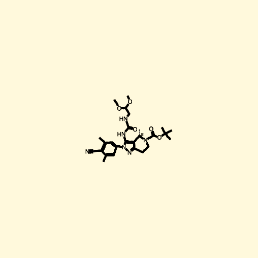 COC(CNC(=O)Nc1c2c(nn1-c1cc(C)c(C#N)c(C)c1)CCN(C(=O)OC(C)(C)C)[C@H]2C)OC